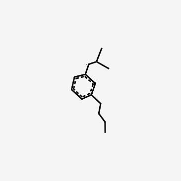 CCCCc1cccc([CH]C(C)C)c1